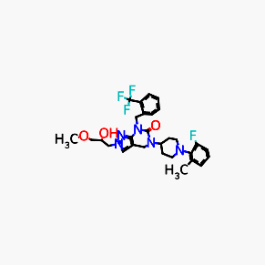 COC[C@H](O)Cn1cc2c(n1)N(Cc1ccccc1C(F)(F)F)C(=O)N(C1CCN(c3c(C)cccc3F)CC1)C2